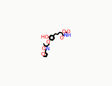 Cc1oc(-c2ccco2)nc1COc1ccc(CCCC2OC(=O)NC2=O)cc1O